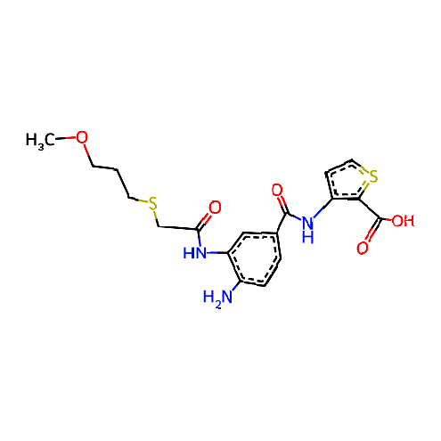 COCCCSCC(=O)Nc1cc(C(=O)Nc2ccsc2C(=O)O)ccc1N